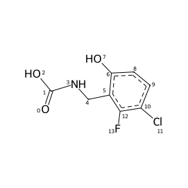 O=C(O)NCc1c(O)ccc(Cl)c1F